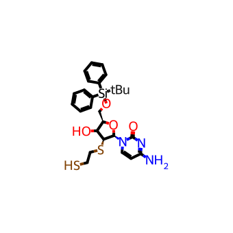 CC(C)(C)[Si](OC[C@H]1O[C@@H](n2ccc(N)nc2=O)[C@@H](SCCS)C1O)(c1ccccc1)c1ccccc1